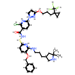 CC1(C)CC(CCCNc2nc(SNC(=O)c3ccc(-n4ccc(OCCCC5(C(F)(F)F)CC5)n4)nc3Cl)ccc2OCc2ccccc2)CN1